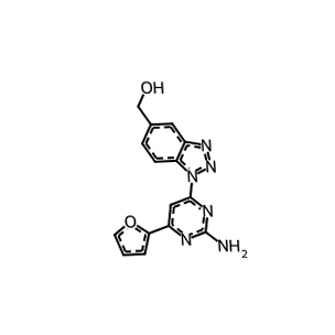 Nc1nc(-c2ccco2)cc(-n2nnc3cc(CO)ccc32)n1